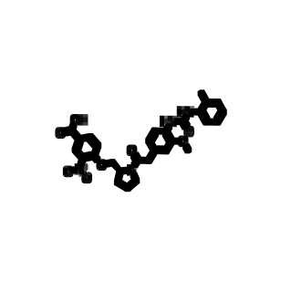 COc1cc(CC(=O)N2CCC[C@H]2COc2ccc(C(=O)O)cc2[N+](=O)[O-])ccc1NC(=O)Nc1ccccc1C